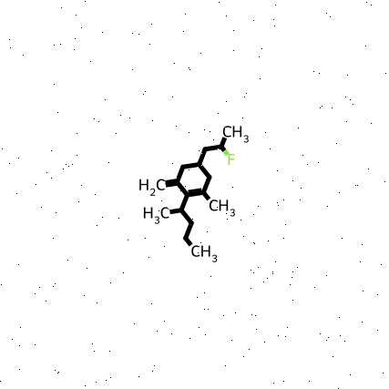 C=C1CC(CC(C)F)CC(C)=C1C(C)CCC